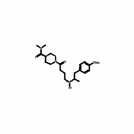 CCN(CCCC(=O)N1CCC(C(=S)N(C)C)CC1)C(C)Cc1ccc(OC)cc1